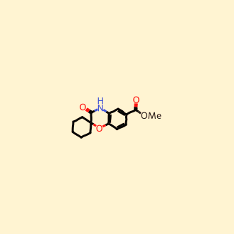 COC(=O)c1ccc2c(c1)NC(=O)C1(CCCCC1)O2